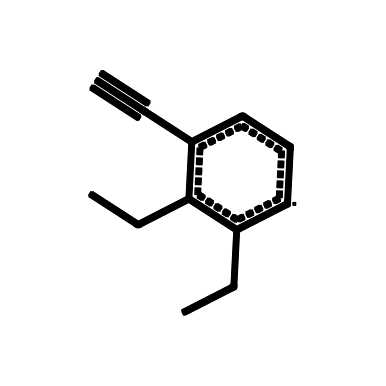 C#Cc1cc[c]c(CC)c1CC